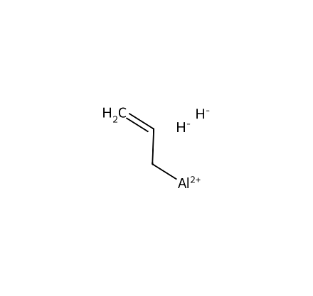 C=C[CH2][Al+2].[H-].[H-]